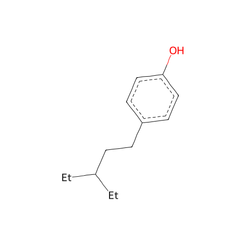 CCC(CC)CCc1ccc(O)cc1